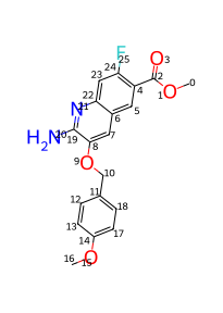 COC(=O)c1cc2cc(OCc3ccc(OC)cc3)c(N)nc2cc1F